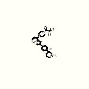 CCNC(=O)N1CCN(c2ccnn3cc(-c4ccc([C@@]5(F)CCCNC5)cc4)cc23)CC1